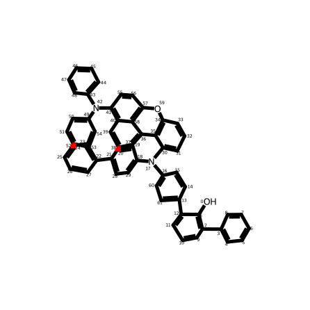 Oc1c(-c2ccccc2)cccc1-c1ccc(N(c2ccc(-c3ccccc3)cc2)c2cccc3c2-c2cccc4c(N(c5ccccc5)c5ccccc5)ccc(c24)O3)cc1